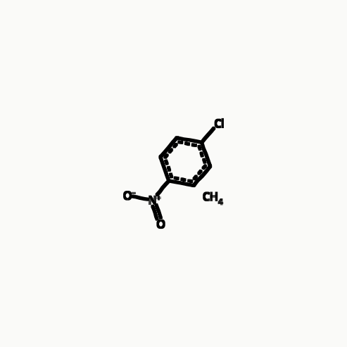 C.O=[N+]([O-])c1ccc(Cl)cc1